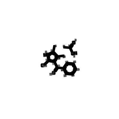 CC(=O)O.Cc1[nH]c(Cl)c(C(=O)c2ccccc2)c1C